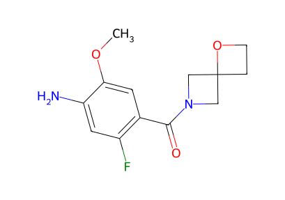 COc1cc(C(=O)N2CC3(CCO3)C2)c(F)cc1N